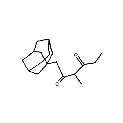 CCC(=O)C(C)C(=O)CC12CC3CC(CC(C3)C1)C2